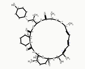 C\C1=C/C=C/C=C/[C@@H](C)CC[C@@H](C)C(=O)CC([C@H](C)C[C@H]2CC[C@H](O)CC2)OC(=O)[C@@H]2CCCCN2C(=O)C[C@]2(O)O[C@@H](CC[C@H]2C)C[C@@H]1O